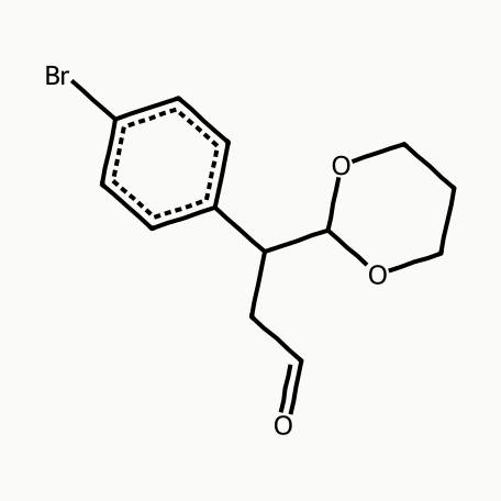 O=CCC(c1ccc(Br)cc1)C1OCCCO1